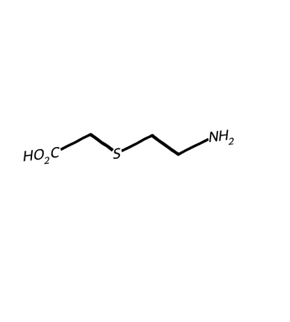 NCCSCC(=O)O